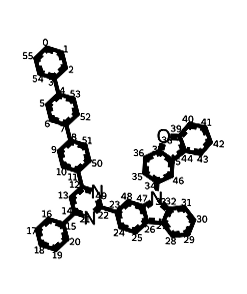 c1ccc(-c2ccc(-c3ccc(-c4cc(-c5ccccc5)nc(-c5ccc6c7ccccc7n(-c7ccc8oc9ccccc9c8c7)c6c5)n4)cc3)cc2)cc1